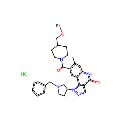 CCOCC1CCN(C(=O)c2cc3c(cc2C)[nH]c(=O)c2cnn(C4CCN(Cc5ccccc5)C4)c23)CC1.Cl